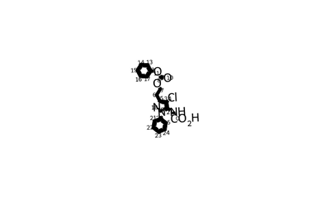 O=C(O)Nc1c(Cl)c(CCOC(=O)Oc2ccccc2)nn1-c1ccccc1